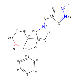 Cn1cc(CN2CCC(CCc3ccccc3)(C3CCCOC3)C2)cn1